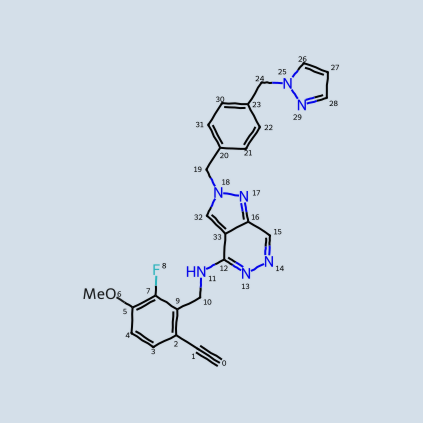 C#Cc1ccc(OC)c(F)c1CNc1nncc2nn(Cc3ccc(Cn4cccn4)cc3)cc12